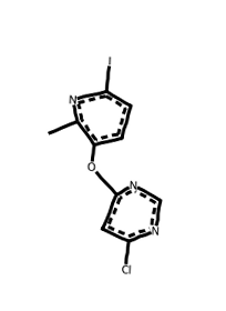 Cc1nc(I)ccc1Oc1cc(Cl)ncn1